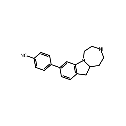 N#Cc1ccc(-c2ccc3c(c2)N2CCNCCC2C3)cc1